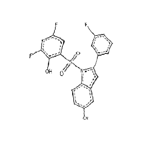 N#Cc1ccc2c(c1)cc(-c1cccc(F)c1)n2S(=O)(=O)c1cc(F)cc(F)c1O